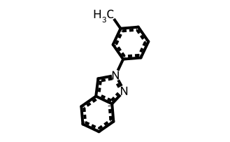 Cc1cccc(-n2cc3ccccc3n2)c1